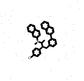 CC(C(Cc1cccc(-c2ccc3ccccc3c2)c1)c1ccc(Cl)cc1)N(C)c1ccc2ccccc2c1